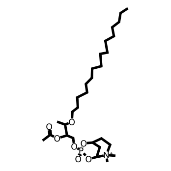 CCCCCCCCCCCCCCCCOC(C)C(COP1(=O)OC2CC[N+](C)(C)C(C2)O1)OC(C)=O